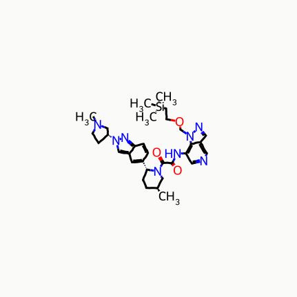 C[C@H]1CC[C@H](c2ccc3nn([C@@H]4CCN(C)C4)cc3c2)N(C(=O)C(=O)Nc2cncc3cnn(COCC[Si](C)(C)C)c23)C1